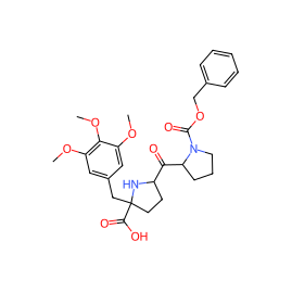 COc1cc(CC2(C(=O)O)CCC(C(=O)C3CCCN3C(=O)OCc3ccccc3)N2)cc(OC)c1OC